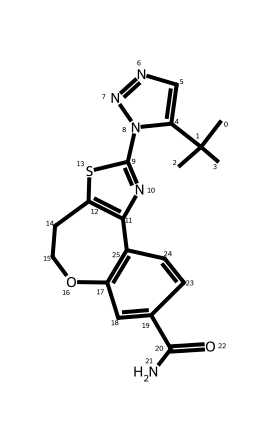 CC(C)(C)c1cnnn1-c1nc2c(s1)CCOc1cc(C(N)=O)ccc1-2